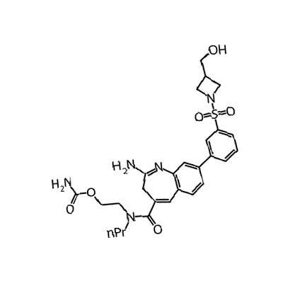 CCCN(CCOC(N)=O)C(=O)C1=Cc2ccc(-c3cccc(S(=O)(=O)N4CC(CO)C4)c3)cc2N=C(N)C1